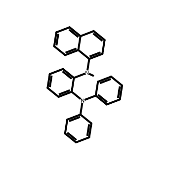 CN(c1ccccc1N(c1ccccc1)c1ccccc1)c1cccc2ccccc12